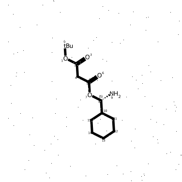 CC(C)(C)OC(=O)CC(=O)O[C@H](N)C1CCCCC1